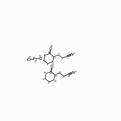 N#CCCC1CCCCC1=O.N#CCCC1CCCCC1=O.[Cl][Pt][Cl]